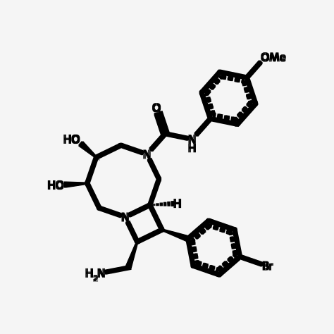 COc1ccc(NC(=O)N2C[C@H](O)[C@H](O)CN3[C@H](CN)[C@H](c4ccc(Br)cc4)[C@@H]3C2)cc1